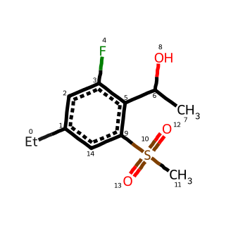 CCc1cc(F)c(C(C)O)c(S(C)(=O)=O)c1